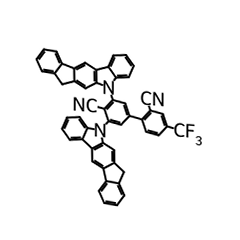 N#Cc1cc(C(F)(F)F)ccc1-c1cc(-n2c3ccccc3c3cc4c(cc32)Cc2ccccc2-4)c(C#N)c(-n2c3ccccc3c3cc4c(cc32)Cc2ccccc2-4)c1